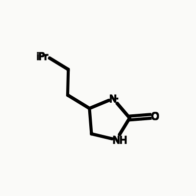 CC(C)CCC1CNC(=O)[N]1